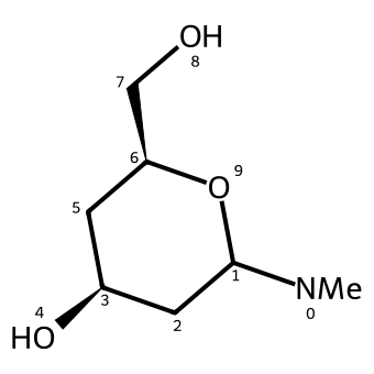 CNC1C[C@@H](O)C[C@@H](CO)O1